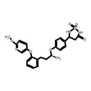 COc1ccc(Oc2ccccc2CC[C@H](C)Oc2ccc(C3CC(=O)NS(=O)(=O)N3)cc2)cn1